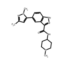 CN1CCC(NC(=O)c2n[nH]c3ccc(-c4cc(C(F)(F)F)nn4C)cc23)CC1